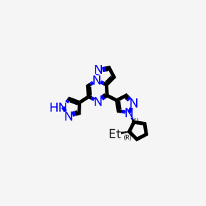 CC[C@@H]1CCC[C@@H]1n1cc(-c2nc(-c3cn[nH]c3)cn3nccc23)cn1